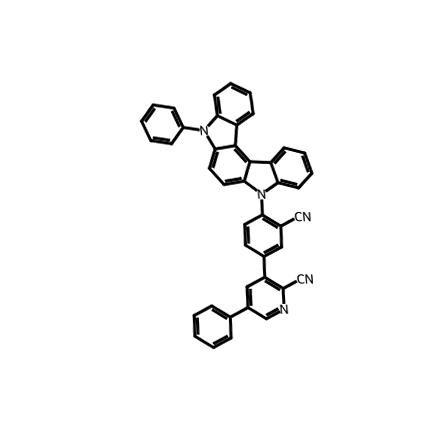 N#Cc1cc(-c2cc(-c3ccccc3)cnc2C#N)ccc1-n1c2ccccc2c2c3c4ccccc4n(-c4ccccc4)c3ccc21